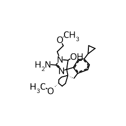 COCCN1C(N)=NC2(c3cc(C4CC4)ccc3C[C@]23CC[C@@H](OC)CC3)C1O